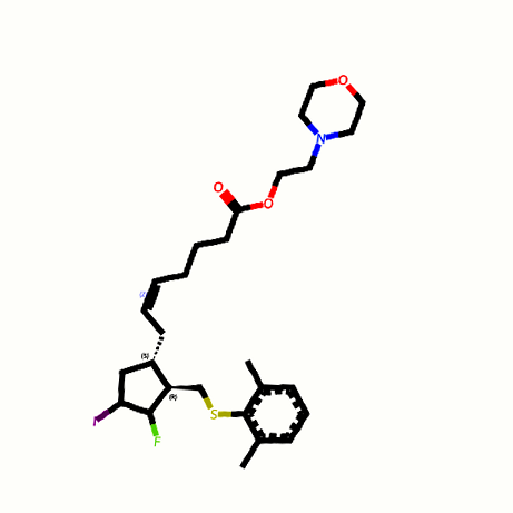 Cc1cccc(C)c1SC[C@H]1C(F)C(I)C[C@@H]1C/C=C\CCCC(=O)OCCN1CCOCC1